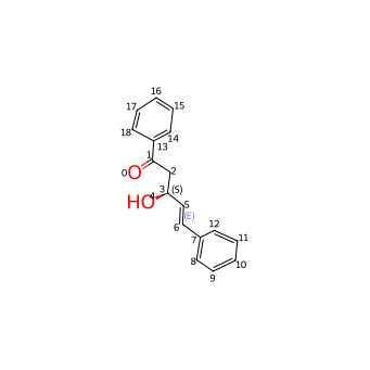 O=C(C[C@H](O)/C=C/c1ccccc1)c1ccccc1